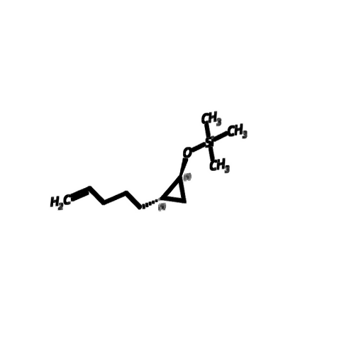 C=CCCC[C@H]1C[C@@H]1O[Si](C)(C)C